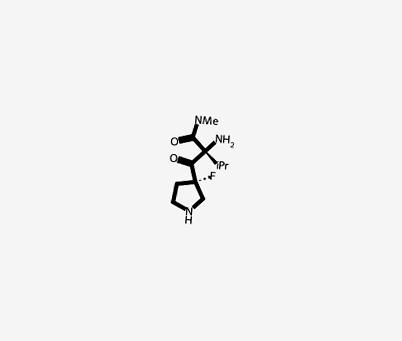 CNC(=O)[C@](N)(C(=O)[C@]1(F)CCNC1)C(C)C